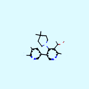 Cc1cc(-c2cnc(C)c(C(OC(C)(C)C)C(=O)O)c2N2CCC(C)(C)CC2)cnc1OCC(C)C